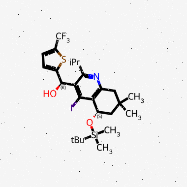 CC(C)c1nc2c(c(I)c1[C@@H](O)c1ccc(C(F)(F)F)s1)[C@@H](O[Si](C)(C)C(C)(C)C)CC(C)(C)C2